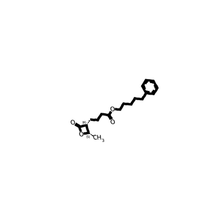 C[C@@H]1OC(=O)[C@@H]1CCCC(=O)OCCCCCc1ccccc1